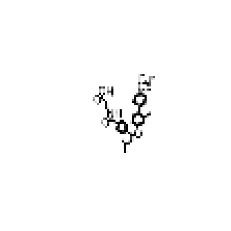 Cc1cc(OC(CC(C)C)c2ccc(C(=O)NCCC(=O)O)cc2)ccc1-c1ccc(OC(F)(F)F)cc1